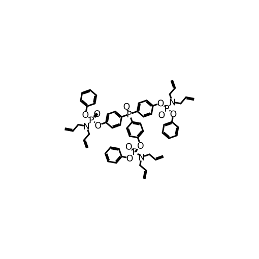 C=CCN(CC=C)P(=O)(Oc1ccccc1)Oc1ccc(P(=O)(c2ccc(OP(=O)(Oc3ccccc3)N(CC=C)CC=C)cc2)c2ccc(OP(=O)(Oc3ccccc3)N(CC=C)CC=C)cc2)cc1